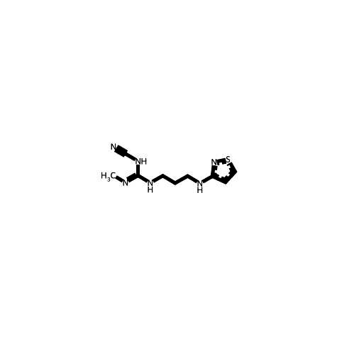 C/N=C(\NC#N)NCCCNc1ccsn1